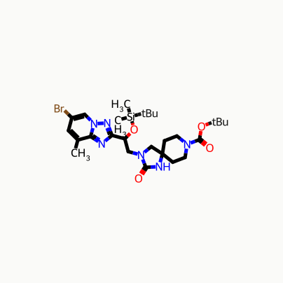 Cc1cc(Br)cn2nc(C(CN3CC4(CCN(C(=O)OC(C)(C)C)CC4)NC3=O)O[Si](C)(C)C(C)(C)C)nc12